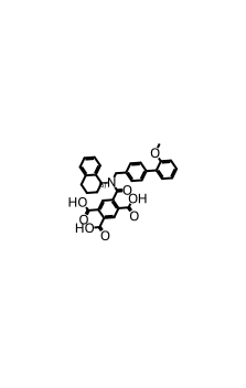 COc1ccccc1-c1ccc(CN(C(=O)c2cc(C(=O)O)c(C(=O)O)cc2C(=O)O)[C@H]2CCCc3ccccc32)cc1